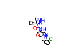 CCc1c(C(=O)N[C@@H]2COCc3c2cnn3-c2c(C)cccc2Cl)n[nH]c1C